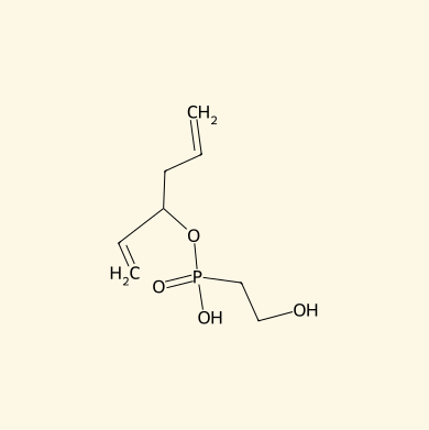 C=CCC(C=C)OP(=O)(O)CCO